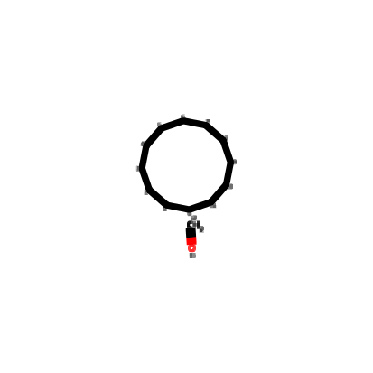 C1CCCCCCCCCCC1.C=O